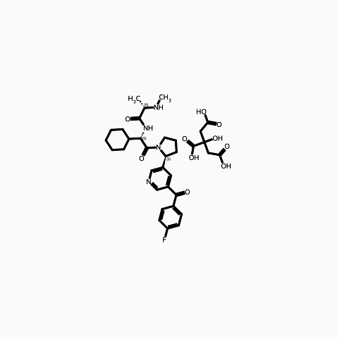 CN[C@@H](C)C(=O)N[C@H](C(=O)N1CCC[C@H]1c1cncc(C(=O)c2ccc(F)cc2)c1)C1CCCCC1.O=C(O)CC(O)(CC(=O)O)C(=O)O